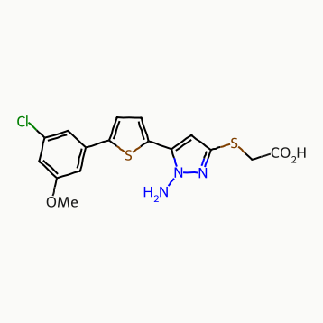 COc1cc(Cl)cc(-c2ccc(-c3cc(SCC(=O)O)nn3N)s2)c1